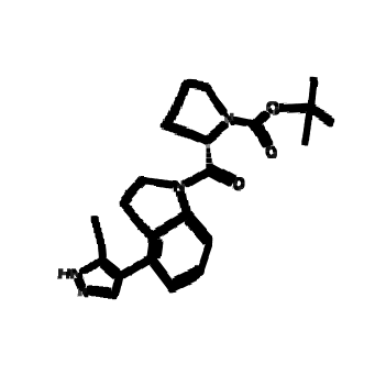 Cc1[nH]ncc1-c1cccc2c1CCN2C(=O)[C@@H]1CCCN1C(=O)OC(C)(C)C